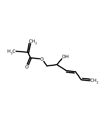 C=CC=CC(O)COC(=O)C(=C)C